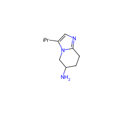 CC(C)c1cnc2n1CC(N)CC2